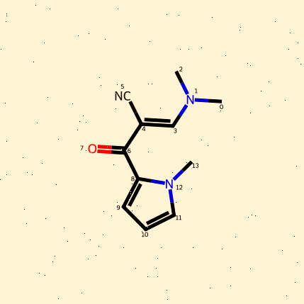 CN(C)C=C(C#N)C(=O)c1cccn1C